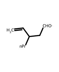 C=CC(C[C]=O)CCC